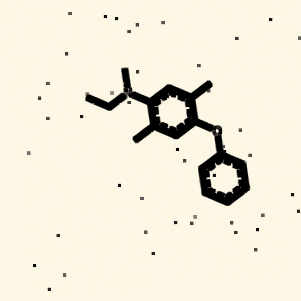 CCN(C)c1cc(C)c(Oc2ccccc2)cc1C